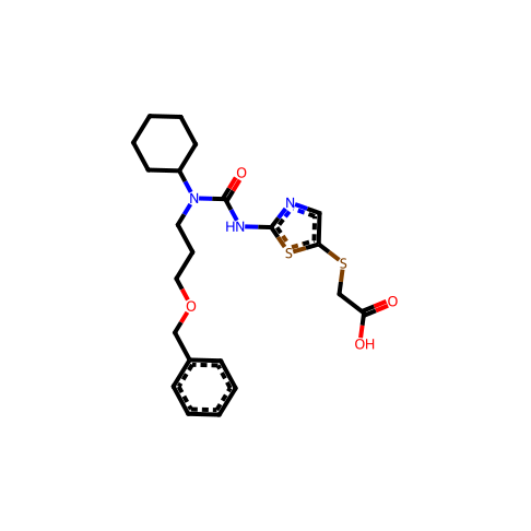 O=C(O)CSc1cnc(NC(=O)N(CCCOCc2ccccc2)C2CCCCC2)s1